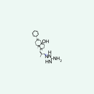 CC(=C[C@H]1CC[C@]2(O)C[C@@H](c3ccccc3)CC[C@]12C)/C=N/NC(=N)N